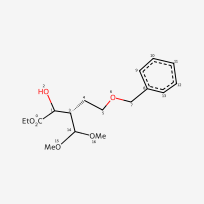 CCOC(=O)C(O)[C@H](CCOCc1ccccc1)C(OC)OC